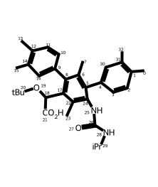 Cc1ccc(-c2c(C)c(-c3ccc(C)c(C)c3)c(C(OC(C)(C)C)C(=O)O)c(C)c2NC(=O)NC(C)C)cc1C